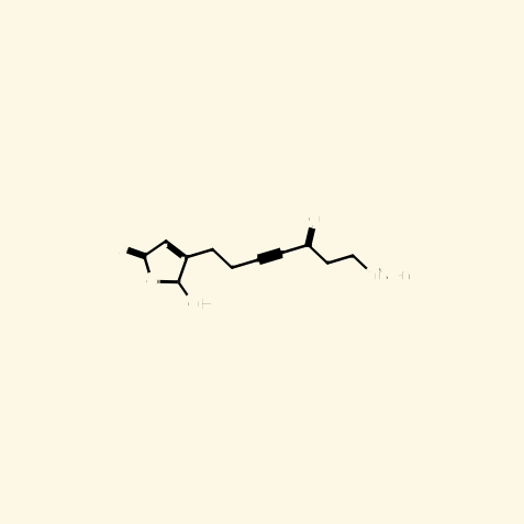 CCCCCCCCCCCC(=O)C#CCCC1=CC(=O)OC1O